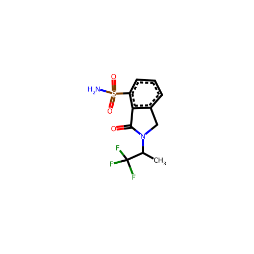 CC(N1Cc2cccc(S(N)(=O)=O)c2C1=O)C(F)(F)F